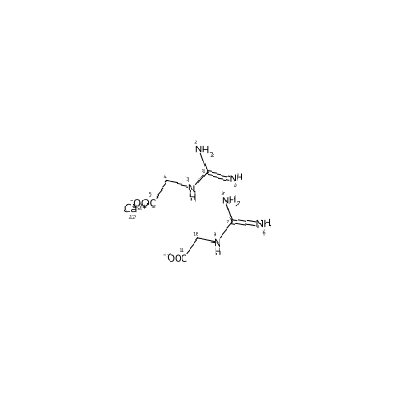 N=C(N)NCC(=O)[O-].N=C(N)NCC(=O)[O-].[Ca+2]